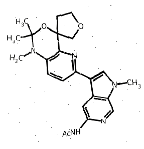 CC(=O)Nc1cc2c(-c3ccc4c(n3)C3(CCOC3)OC(C)(C)N4C)cn(C)c2cn1